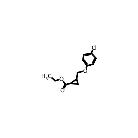 CCOC(=O)C1CC1COc1ccc(Cl)cc1